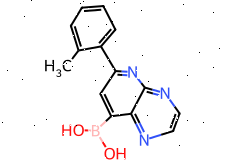 Cc1ccccc1-c1cc(B(O)O)c2nccnc2n1